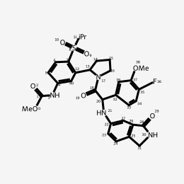 COC(=O)Nc1ccc(S(=O)(=O)C(C)C)c(C2CCCN2C(=O)C(Nc2ccc3c(c2)C(=O)NC3)c2ccc(F)c(OC)c2)c1